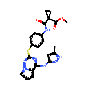 COC(=O)C1(C(=O)Nc2ccc(Sc3nc(Nc4cc(C)[nH]n4)c4cccn4n3)cc2)CC1